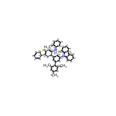 Cc1cc(C)c(-c2cc(C3CC4=C(C=C3Nc3ccccc3C)SC3C=CC=CC43)c3c(c2)-n2c4ccccc4c4cccc(c42)S3)c(C)c1